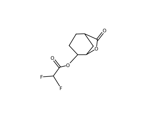 O=C(OC1CCC2CC1OC2=O)C(F)F